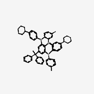 Cc1ccc(N2c3ccc(C4CCCCC4)cc3B3c4cc(C)ccc4N(c4ccc(C5CCCCC5)cc4)c4cc(C(C)(c5ccccc5)c5ccccc5)cc2c43)cc1